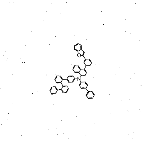 c1ccc(-c2ccc(N(c3ccc(-c4ccccc4-c4ccccc4-c4ccccc4)cc3)c3ccc(-c4cccc(-c5cc6ccccc6o5)c4)c4ccccc34)cc2)cc1